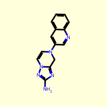 Nc1nc2n(n1)C=CN(c1cnc3ccccc3c1)C2